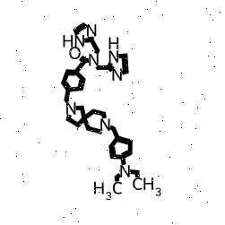 CCN(CC)c1ccc(CN2CCC3(CC2)CCN(Cc2ccc(C(=O)N(Cc4ncc[nH]4)Cc4ncc[nH]4)cc2)C3)cc1